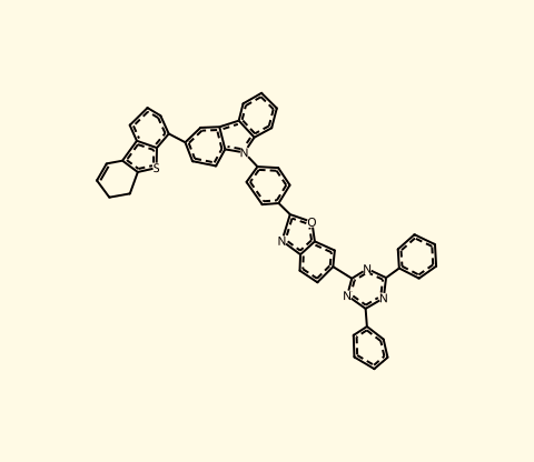 C1=Cc2c(sc3c(-c4ccc5c(c4)c4ccccc4n5-c4ccc(-c5nc6ccc(-c7nc(-c8ccccc8)nc(-c8ccccc8)n7)cc6o5)cc4)cccc23)CC1